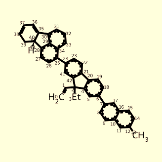 C=CC1(CC)c2cc(-c3ccc4cc(C)ccc4c3)ccc2-c2ccc(-c3ccc4c5c(cccc35)C3=CC=CC[C@H]34)cc21